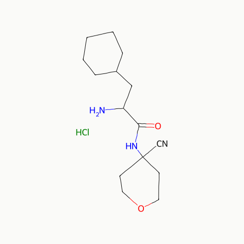 Cl.N#CC1(NC(=O)C(N)CC2CCCCC2)CCOCC1